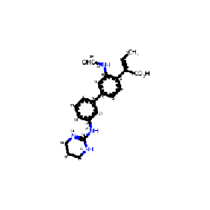 CC=C(C(=O)O)c1ccc(-c2cccc(NC3=NCCCN3)c2)cc1NC=O